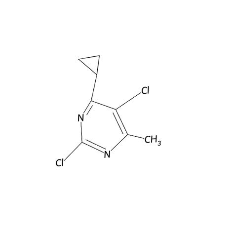 Cc1nc(Cl)nc(C2CC2)c1Cl